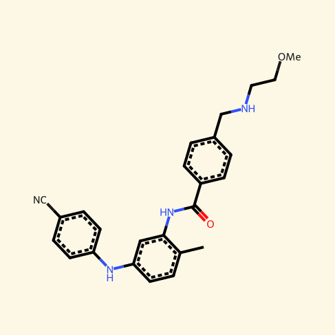 COCCNCc1ccc(C(=O)Nc2cc(Nc3ccc(C#N)cc3)ccc2C)cc1